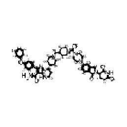 NC(=O)c1c(-c2ccc(Oc3ccccc3)cc2)nn2c1NCC[C@H]2C1CCN(CC2CCN(C(=O)N3CCN(c4ccc5c(c4)CN(C4CCC(=O)NC4=O)C5=O)CC3)CC2)CC1